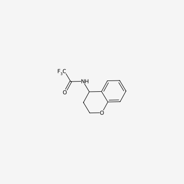 O=C(NC1CCOc2ccccc21)C(F)(F)F